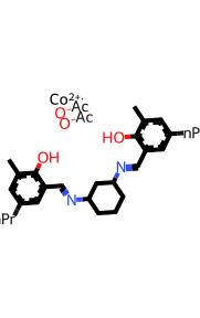 CC(=O)[O-].CC(=O)[O-].CCCc1cc(C)c(O)c(C=NC2CCCC(N=Cc3cc(CCC)cc(C)c3O)C2)c1.[Co+2]